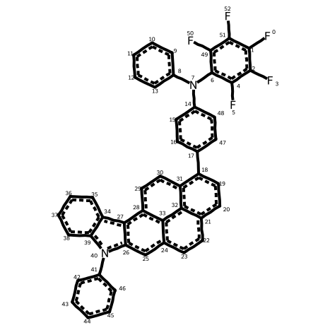 Fc1c(F)c(F)c(N(c2ccccc2)c2ccc(-c3ccc4ccc5cc6c(c7ccc3c4c57)c3ccccc3n6-c3ccccc3)cc2)c(F)c1F